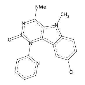 CNc1nc(=O)n(-c2ccccn2)c2c3cc(Cl)ccc3n(C)c12